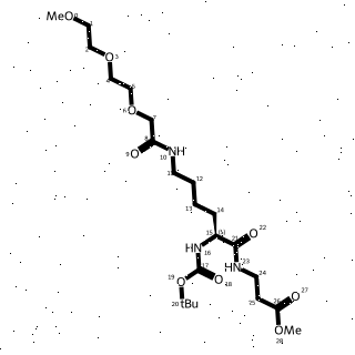 COCCOCCOCC(=O)NCCCC[C@H](NC(=O)OC(C)(C)C)C(=O)NCCC(=O)OC